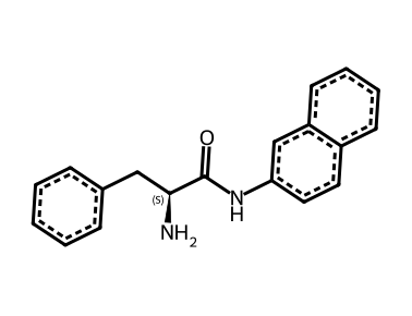 N[C@@H](Cc1ccccc1)C(=O)Nc1ccc2ccccc2c1